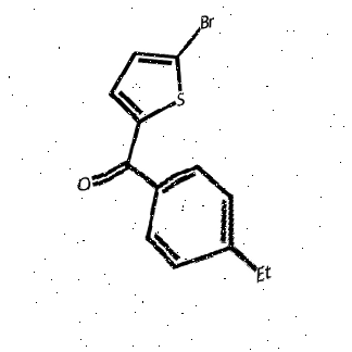 CCc1ccc(C(=O)c2ccc(Br)s2)cc1